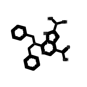 O=C(O)c1cnc(N(Cc2ccccc2)Cc2ccccc2)c2[nH]c(B(O)O)cc12